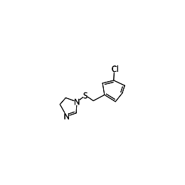 Clc1cccc(CSN2C=NCC2)c1